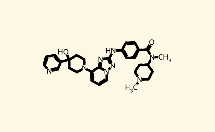 CN1CCC(N(C)C(=O)c2ccc(Nc3nc4c(N5CCC(O)(c6cccnc6)CC5)cccn4n3)cc2)CC1